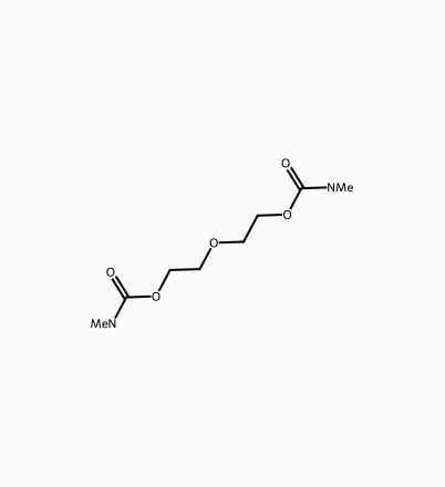 CNC(=O)OCCOCCOC(=O)NC